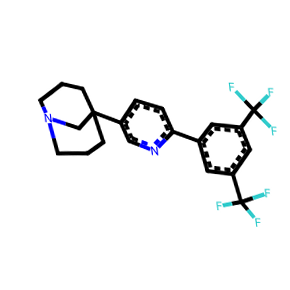 FC(F)(F)c1cc(-c2ccc(C34CCCN(CCC3)C4)cn2)cc(C(F)(F)F)c1